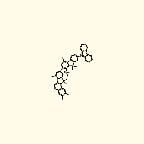 Cc1cc2ccc3c(c2cc1C)C(C)(C)c1c-3c(C)cc2c1[Si](C)(C)c1c-2cc(C)c2c1C(C)(C)c1cc(-n3c4ccccc4c4ccccc43)ccc1-2